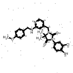 COc1ccc(CNc2cc(CN3C(=O)N(c4ccc(S)c(Cl)c4)C(=O)C3(C)C)ccn2)cc1